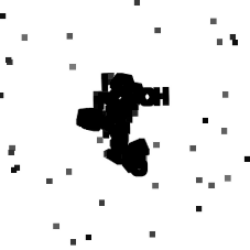 C#Cc1c(F)ccc2cc(O)cc(-c3c(C(C)C)cc4c(N5CC6CCC(C5)N6)nc(OCC5(CN6CCOCC67CCC7)CC5)nc4c3F)c12